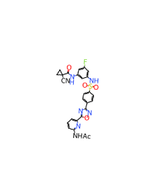 CC(=O)Nc1cccc(-c2nc(-c3ccc(S(=O)(=O)Nc4cc(F)cc(NC(=O)C5(C#N)CC5)c4)cc3)no2)n1